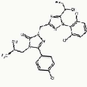 COC(O)c1nc(Cn2nc(-c3ccc(Cl)cc3)n(C[C@H](O)C(F)(F)F)c2=O)nn1-c1c(Cl)cccc1Cl